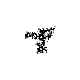 CCC[C@H](CCCC1(C)Oc2c(-c3cnc(N4C[C@@H](C)O[C@@H](C)C4)nc3)cc(C(=O)NCc3c(SC)cc(C)[nH]c3=O)c(C)c2O1)N(C)CC(F)(F)F